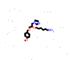 COc1ccc(COCC(Cn2ccnc2)OCCCCCCN)cc1